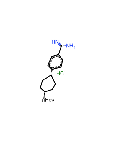 CCCCCC[C@H]1CC[C@H](c2ccc(C(=N)N)cc2)CC1.Cl